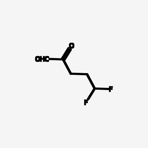 O=CC(=O)CCC(F)F